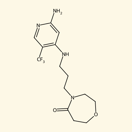 Nc1cc(NCCCN2CCOCCC2=O)c(C(F)(F)F)cn1